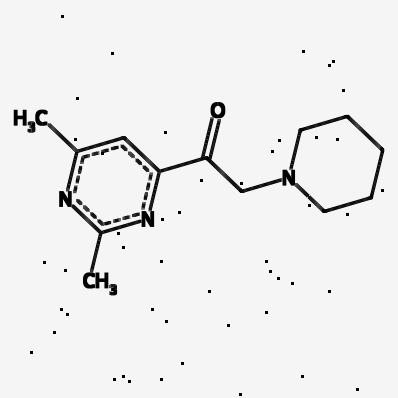 Cc1cc(C(=O)CN2CCCCC2)nc(C)n1